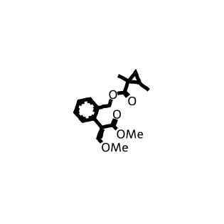 CO/C=C(\C(=O)OC)c1ccccc1COC(=O)C1(C)CC1C